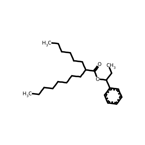 CCCCCCCCC(CCCCCC)C(=O)OC(CC)c1ccccc1